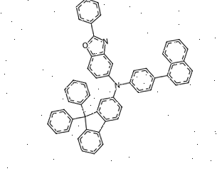 c1ccc(-c2nc3cc(N(c4ccc(-c5cccc6ccccc56)cc4)c4ccc5c(c4)C(c4ccccc4)(c4ccccc4)c4ccccc4-5)ccc3o2)cc1